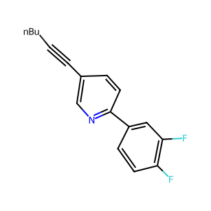 CCCCC#Cc1ccc(-c2ccc(F)c(F)c2)nc1